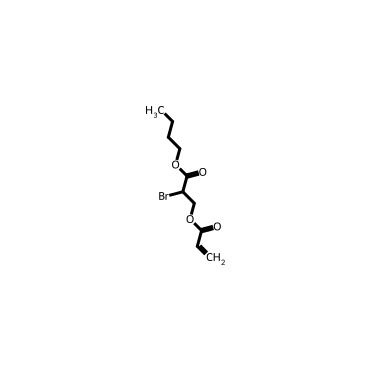 C=CC(=O)OCC(Br)C(=O)OCCCC